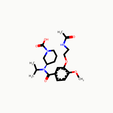 COc1ccc(C(=O)N(C(C)C)[C@@H]2CCCN(C(=O)O)C2)cc1OCCNC(C)=O